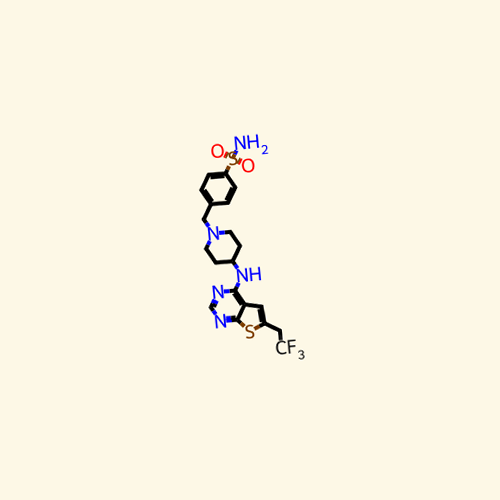 NS(=O)(=O)c1ccc(CN2CCC(Nc3ncnc4sc(CC(F)(F)F)cc34)CC2)cc1